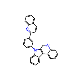 c1cc(-c2ccc3ccccc3n2)cc(-n2c3ccccc3c3c4ccccc4ncc32)c1